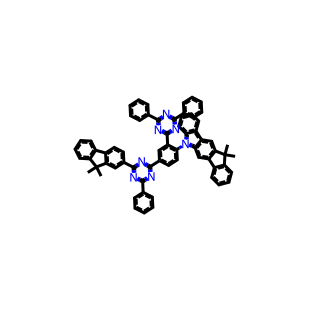 CC1(C)c2ccccc2-c2ccc(-c3nc(-c4ccccc4)nc(-c4ccc(-n5c6ccccc6c6cc7c(cc65)-c5ccccc5C7(C)C)c(-c5nc(-c6ccccc6)nc(-c6ccccc6)n5)c4)n3)cc21